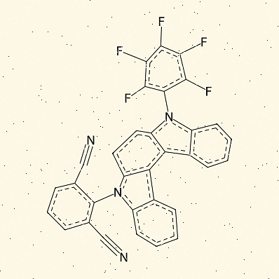 N#Cc1cccc(C#N)c1-n1c2ccccc2c2c3c4ccccc4n(-c4c(F)c(F)c(F)c(F)c4F)c3ccc21